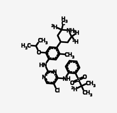 [2H]C1([2H])CC(c2cc(OC(C)C)c(Nc3ncc(Cl)c(Nc4ccccc4S(=O)(=O)C([2H])(C)C)n3)cc2C)CC([2H])(C)N1